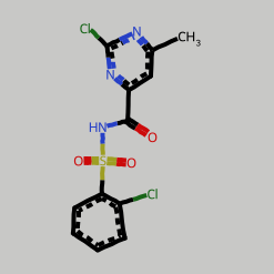 Cc1cc(C(=O)NS(=O)(=O)c2ccccc2Cl)nc(Cl)n1